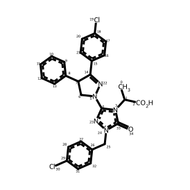 CC(C(=O)O)n1c(N2CC(c3ccccc3)C(c3ccc(Cl)cc3)=N2)nn(Cc2ccc(Cl)cc2)c1=O